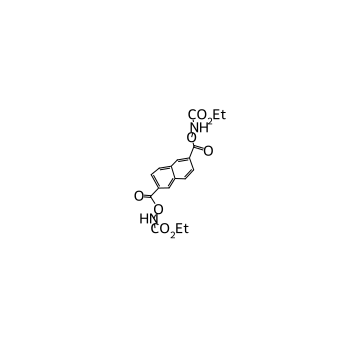 CCOC(=O)NOC(=O)c1ccc2cc(C(=O)ONC(=O)OCC)ccc2c1